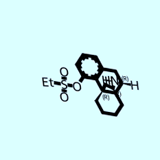 CCS(=O)(=O)Oc1cccc2c1[C@@]13CCCC[C@H]1[C@@H](C2)NCC3